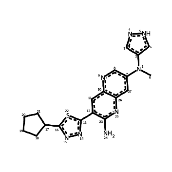 CN(c1cn[nH]c1)c1cnc2cc(-c3nnc(C4CCCC4)s3)c(N)nc2c1